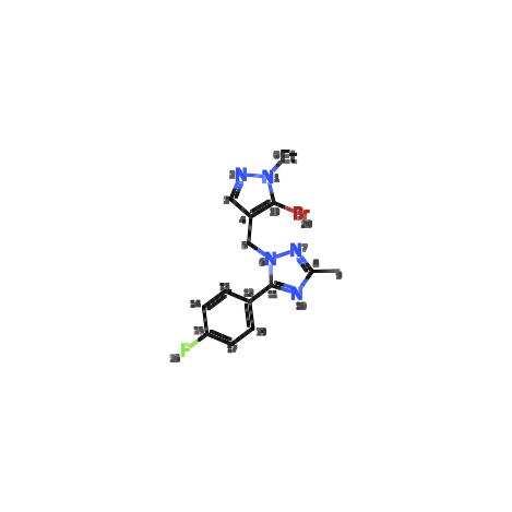 CCn1ncc(Cn2nc(C)nc2-c2[c]cc(F)cc2)c1Br